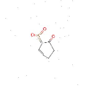 O=C1CCC=CC1=S(=O)=O